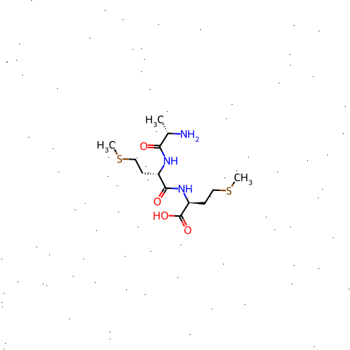 CSCC[C@H](NC(=O)[C@H](CCSC)NC(=O)[C@H](C)N)C(=O)O